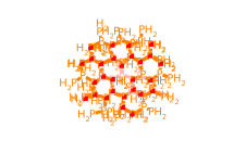 PPP(P(P)P)P(B(B(B(B(P(P(P)P)P(P)P)P(P(P)P)P(P)P)B(P(P(P)P)P(P)P)P(P(P)P)P(P)P)B(B(P(P(P)P)P(P)P)P(P(P)P)P(P)P)B(P(P(P)P)P(P)P)P(P(P)P)P(P)P)P(P(P(P)P)P(P)P)P(P(P)P)P(P)P)P(P(P)P)P(P)P